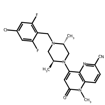 C[C@@H]1CN(c2cc(=O)n(C)c3ccc(C#N)nc23)[C@@H](C)CN1Cc1c(F)cc(Cl)cc1F